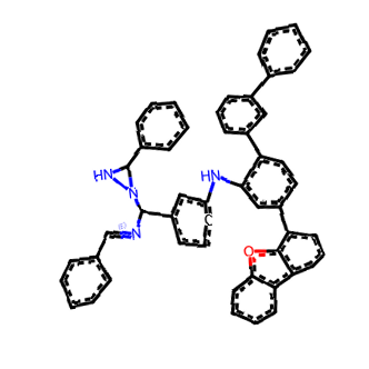 C(=N\C(c1cccc(Nc2cc(-c3cccc4c3oc3ccccc34)ccc2-c2cccc(-c3ccccc3)c2)c1)N1NC1c1ccccc1)/c1ccccc1